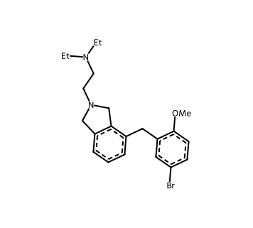 CCN(CC)CCN1Cc2cccc(Cc3cc(Br)ccc3OC)c2C1